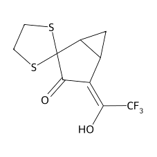 O=C1/C(=C(\O)C(F)(F)F)C2CC2C12SCCS2